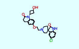 O=C1CCc2cc(OCCN3CCC4(CC3)C(=O)Nc3ccc(Cl)cc34)ccc2N1[C@H]1C[C@H](O)C1